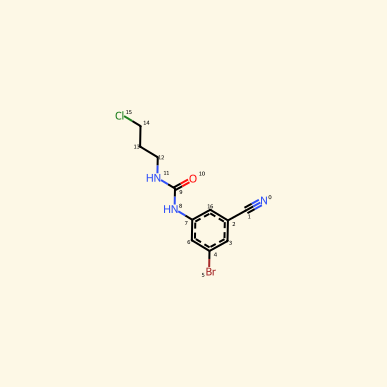 N#Cc1cc(Br)cc(NC(=O)NCCCCl)c1